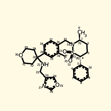 C[C@H]1CC[C@H](c2ccccc2)S(=O)(=O)N1Cc1ccc(C2(NCc3cocn3)CCOCC2)cc1F